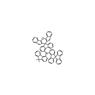 CC1(C)c2ccccc2-c2c(N(c3cccc4c3-c3ccccc3C43c4ccccc4-c4ccccc43)c3cccc4c3-c3ccccc3C43c4ccc5ccccc5c4Oc4c3ccc3ccccc43)cccc21